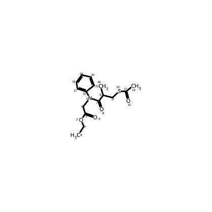 CCOC(=O)CN(C(=O)C(C)CSC(C)=O)c1ccccc1